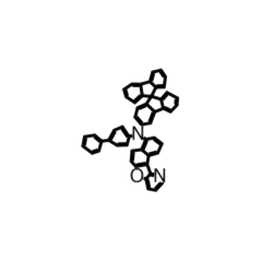 c1ccc(-c2ccc(N(c3ccc4c(c3)-c3ccccc3C43c4ccccc4-c4ccccc43)c3cccc4c3ccc3oc5cccnc5c34)cc2)cc1